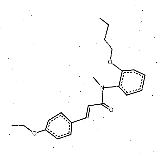 CCCCOc1ccccc1N(C)C(=O)/C=C/c1ccc(OCC)cc1